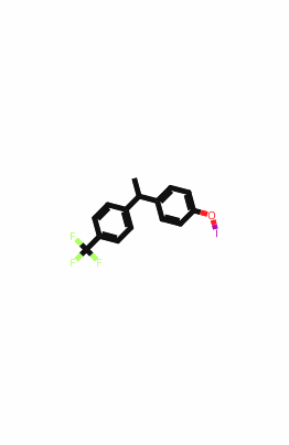 CC(c1ccc(OI)cc1)c1ccc(C(F)(F)F)cc1